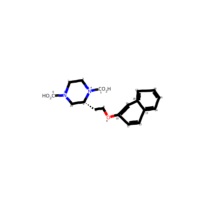 O=C(O)N1CCN(C(=O)O)[C@H](CCOc2ccc3ccccc3c2)C1